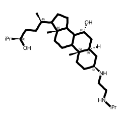 CC(C)NCCN[C@H]1CC[C@]2(C)C3CC[C@@]4(C)C(CCC4[C@H](C)CC[C@@H](O)C(C)C)C3[C@H](O)C[C@H]2C1